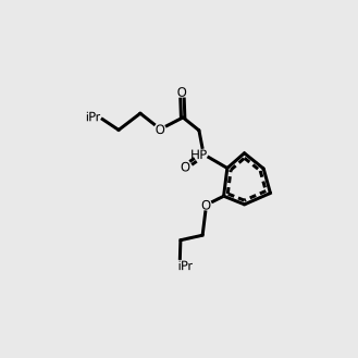 CC(C)CCOC(=O)C[PH](=O)c1ccccc1OCCC(C)C